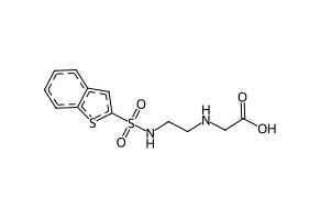 O=C(O)CNCCNS(=O)(=O)c1cc2ccccc2s1